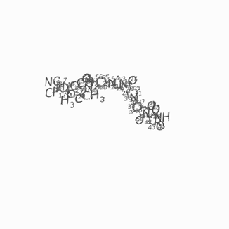 CC1(C)[C@H](Oc2ccc(C#N)c(Cl)c2)C(C)(C)[C@H]1N1Cc2cc(N3CCN(C(=O)C4CCN(c5ccc6c(c5)C(=O)N(C5CCC(=O)NC5=O)C6=O)CC4)CC3)ccc2C1=O